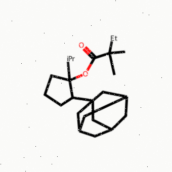 CCC(C)(C)C(=O)OC1(C(C)C)CCCC1C12CC3CC(CC(C3)C1)C2